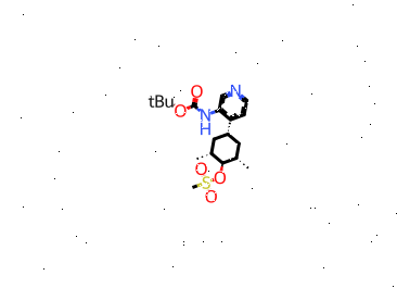 C[C@@H]1C[C@H](c2ccncc2NC(=O)OC(C)(C)C)C[C@H](C)[C@H]1OS(C)(=O)=O